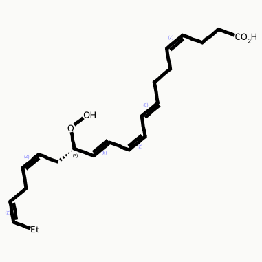 CC/C=C\C/C=C\C[C@@H](/C=C/C=C\C=C\CC/C=C\CCC(=O)O)OO